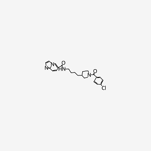 O=C(NCCCCC1CCN(C(=O)c2ccc(Cl)cc2)CC1)c1ccc2nccn2c1